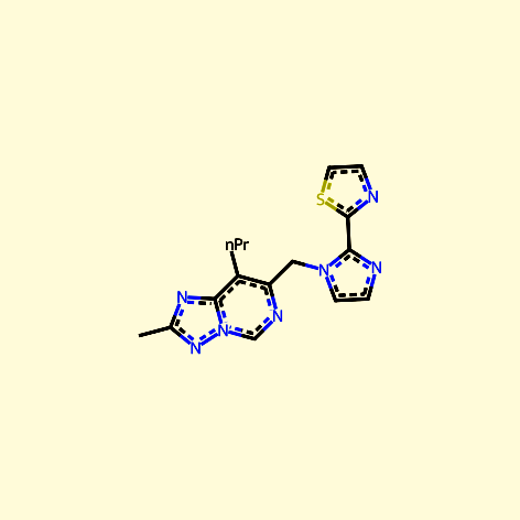 CCCc1c(Cn2ccnc2-c2nccs2)ncn2nc(C)nc12